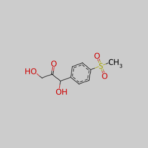 CS(=O)(=O)c1ccc(C(O)C(=O)CO)cc1